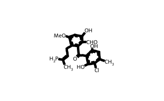 COc1cc(O)c(C=O)c(C(=O)c2c(O)cc(C)c(Cl)c2O)c1C/C=C(/C)P